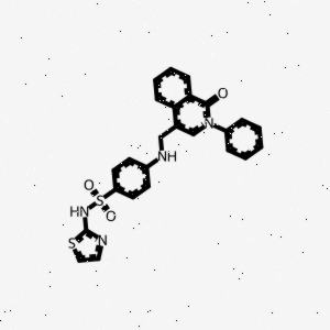 O=c1c2ccccc2c(CNc2ccc(S(=O)(=O)Nc3nccs3)cc2)cn1-c1ccccc1